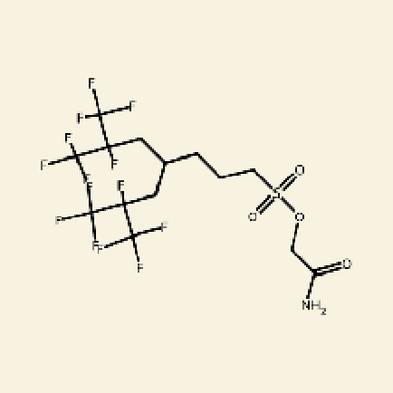 NC(=O)COS(=O)(=O)CCCC(CC(F)(C(F)(F)F)C(F)(F)F)CC(F)(C(F)(F)F)C(F)(F)F